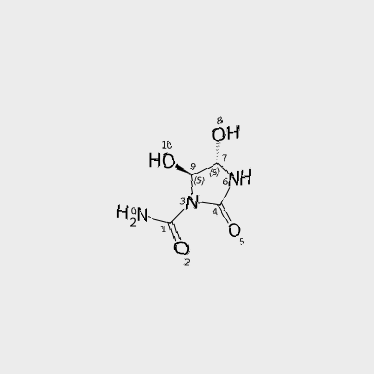 NC(=O)N1C(=O)N[C@@H](O)[C@@H]1O